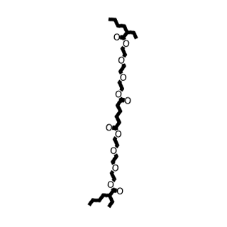 CCCCC(CC)C(=O)OCCOCCOCCOC(=O)CCCCC(=O)OCCOCCOCCOC(=O)C(CC)CCCC